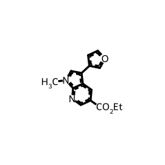 CCOC(=O)c1cnc2c(c1)c(-c1ccoc1)cn2C